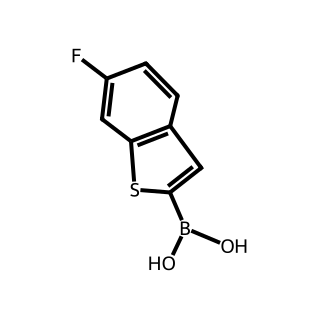 OB(O)c1cc2ccc(F)cc2s1